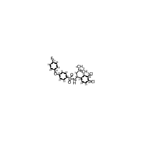 CN(C)C[C@H](NS(=O)(=O)c1ccc(Oc2ccc(F)cc2)cc1)c1ccc(Cl)c(Cl)c1